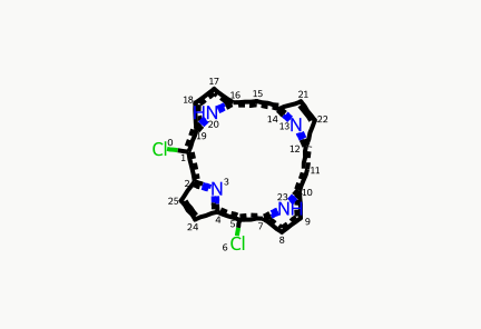 Clc1c2nc(c(Cl)c3ccc(cc4nc(cc5ccc1[nH]5)C=C4)[nH]3)C=C2